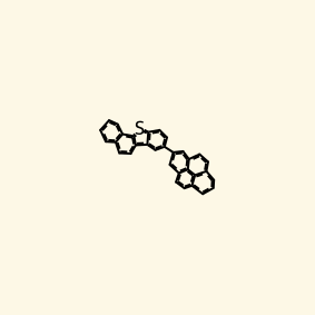 c1ccc2c(c1)ccc1c3cc(-c4cc5ccc6cccc7ccc(c4)c5c67)ccc3sc21